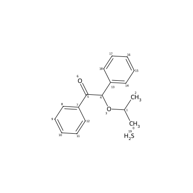 CC(C)OC(C(=O)c1ccccc1)c1ccccc1.S